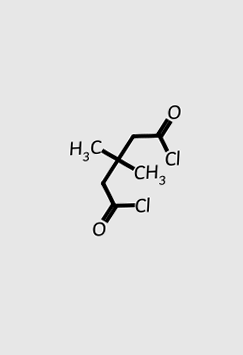 CC(C)(CC(=O)Cl)CC(=O)Cl